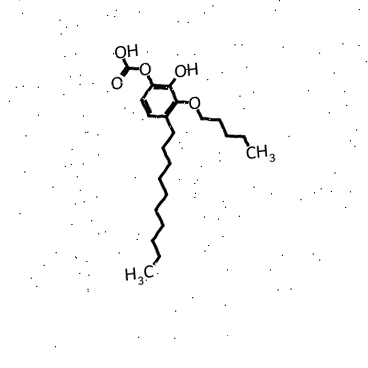 CCCCCCCCCCc1ccc(OC(=O)O)c(O)c1OCCCCC